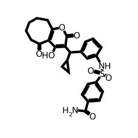 NC(=O)c1ccc(S(=O)(=O)Nc2cccc(C(c3c(O)c4c(oc3=O)CCCCCC4=O)C3CC3)c2)cc1